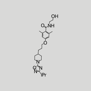 Cc1cc(OCCCC2CCN(c3nc(C(C)C)no3)CC2)cc(C)c1C(=O)NCCO